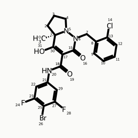 C[C@]12CCCN1N(Cc1ccccc1Cl)C(=O)C(C(=O)Nc1cc(F)c(Br)c(F)c1)=C2O